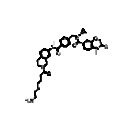 NCCCCCCC(=O)N1CCc2ccc(NC(=O)c3ccc(CN(C(=O)c4ccc5c(c4)OCC(=O)N5)C4CC4)cc3)cc2C1